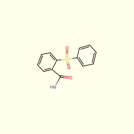 [NH]C(=O)c1ccccc1S(=O)(=O)c1ccccc1